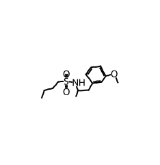 CCCCS(=O)(=O)NC(C)Cc1cccc(OC)c1